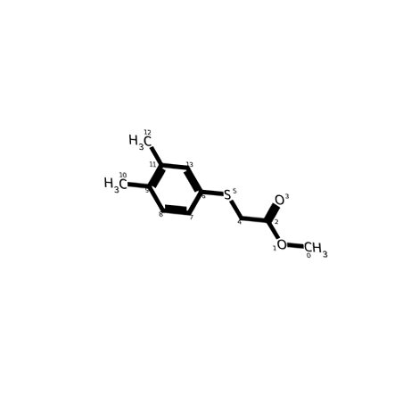 COC(=O)CSc1ccc(C)c(C)c1